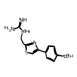 CC(C)(C)c1ccc(-c2csc(CNC(=N)N)n2)cc1